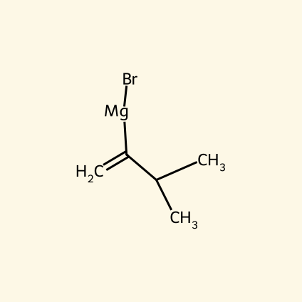 C=[C]([Mg][Br])C(C)C